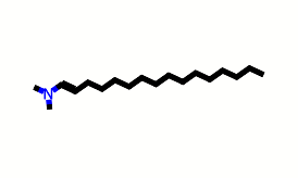 CCCCCCCCCCCCCC/C=C/N(C)C